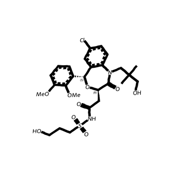 COc1cccc([C@H]2O[C@H](CC(=O)NS(=O)(=O)CCCO)C(=O)N(CC(C)(C)CO)c3ccc(Cl)cc32)c1OC